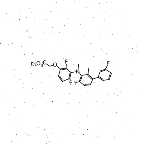 CCOC(=O)COc1ccc(F)c(N(C)c2c(F)ccc(-c3cccc(F)c3)c2C)c1F